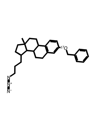 CC12CCC(CCCN=[N+]=[N-])C1C1CCc3cc([17O]Cc4ccccc4)ccc3C1CC2